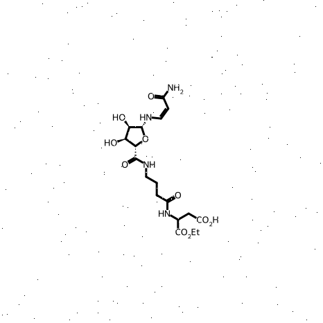 CCOC(=O)C(CC(=O)O)NC(=O)CCCNC(=O)[C@H]1O[C@@H](N/C=C\C(N)=O)[C@H](O)[C@@H]1O